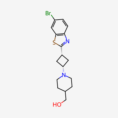 OCC1CCN([C@H]2C[C@@H](c3nc4ccc(Br)cc4s3)C2)CC1